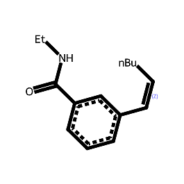 CCCC/C=C\c1cccc(C(=O)NCC)c1